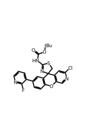 CC(C)(C)OC(=O)NC1=NC2(CS1)c1cc(-c3cccnc3F)ccc1Oc1cnc(Cl)cc12